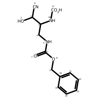 N#CC(O)C(CNC(=O)OCc1ccccc1)NC(=O)O